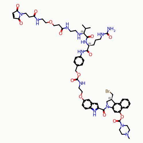 CC(C)[C@H](NCCNC(=O)CCOCCNC(=O)CCN1C(=O)C=CC1=O)C(=O)N[C@@H](CCCNC(N)=O)C(=O)Nc1ccc(COC(=O)NCCOc2ccc3[nH]c(C(=O)N4C[C@@H](CBr)c5c4cc(OC(=O)N4CCN(C)CC4)c4ccccc54)cc3c2)cc1